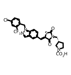 O=C(O)N1CC[C@@H](CN2C(=O)S/C(=C\c3ccc4c(cnn4Cc4ccc(Cl)cc4C(F)(F)F)c3)C2=O)C1